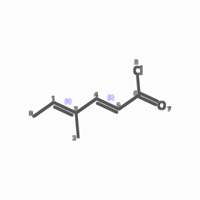 C/C=C(C)/C=C/C(=O)Cl